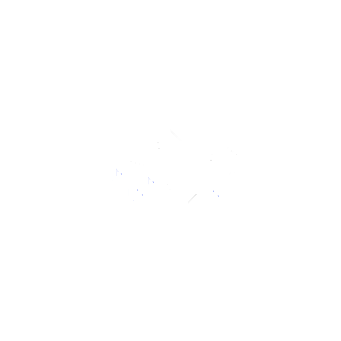 CCn1c2ccccc2c2cc(N(N)/C(=C\N)c3cccs3)ccc21